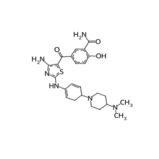 CN(C)C1CCN(C2C=CC(Nc3nc(N)c(C(=O)c4ccc(O)c(C(N)=O)c4)s3)=CC2)CC1